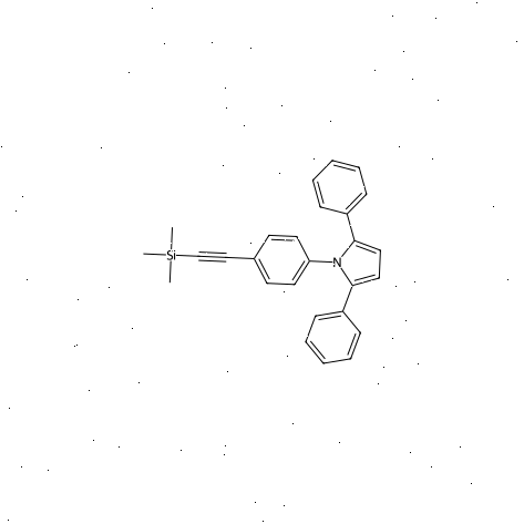 C[Si](C)(C)C#Cc1ccc(-n2c(-c3ccccc3)ccc2-c2ccccc2)cc1